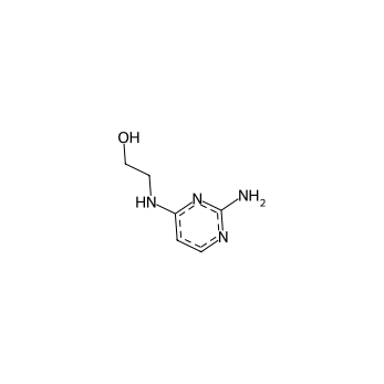 Nc1nccc(NCCO)n1